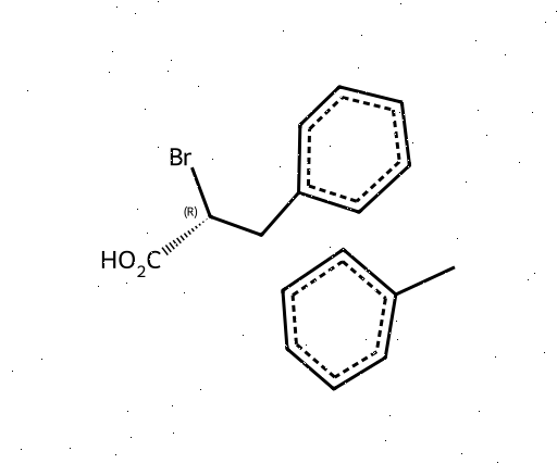 Cc1ccccc1.O=C(O)[C@H](Br)Cc1ccccc1